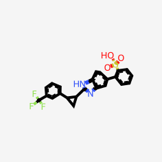 O=S(=O)(O)c1ccccc1-c1ccc2[nH]c(C3CC3c3cccc(C(F)(F)F)c3)nc2c1